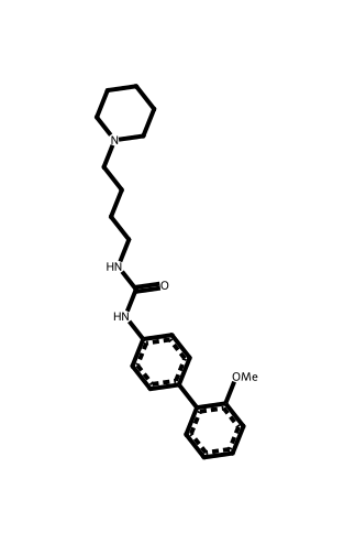 COc1ccccc1-c1ccc(NC(=O)NCCCCN2CCCCC2)cc1